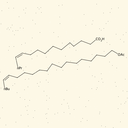 CCC/C=C\CCCCCCCCCC(=O)O.CCCC/C=C\CCCCCCCCCCCCCCOC(C)=O